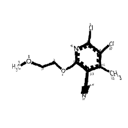 COCCOc1nc(Cl)c(Cl)c(C)c1C#N